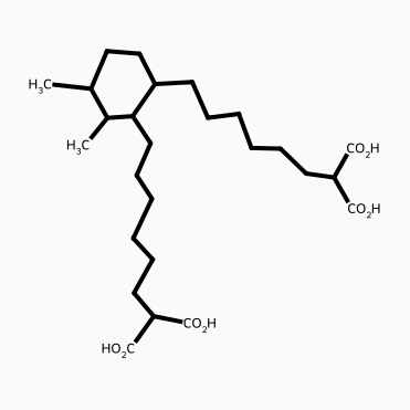 CC1CCC(CCCCCCC(C(=O)O)C(=O)O)C(CCCCCCC(C(=O)O)C(=O)O)C1C